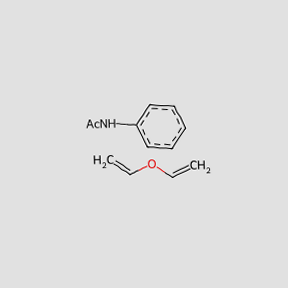 C=COC=C.CC(=O)Nc1ccccc1